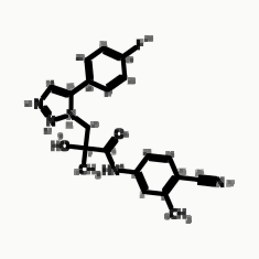 Cc1cc(NC(=O)C(C)(O)Cn2nncc2-c2ccc(F)cc2)ccc1C#N